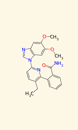 CCc1ccc(-n2cnc3cc(OC)c(OC)cc32)nc1-c1ccccc1C(N)=O